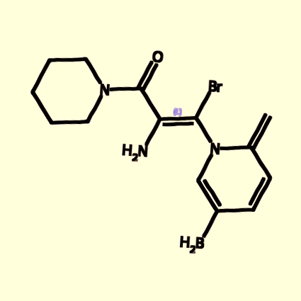 BC1=CN(/C(Br)=C(\N)C(=O)N2CCCCC2)C(=C)C=C1